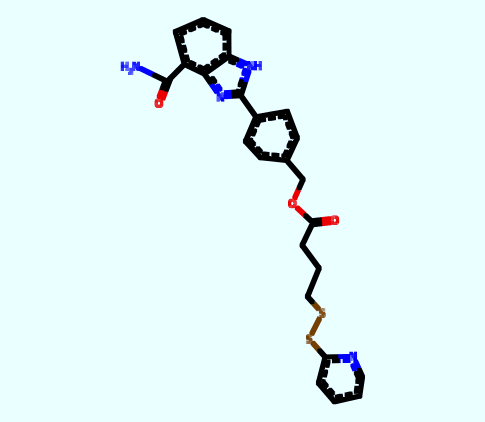 NC(=O)c1cccc2[nH]c(-c3ccc(COC(=O)CCCSSc4ccccn4)cc3)nc12